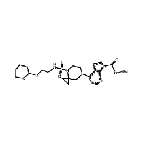 CC(C)(C)OC(=O)n1ccc2c(N3CCN(S(=O)(=O)NCCOC4CCCCO4)C4(CC4)C3)ncnc21